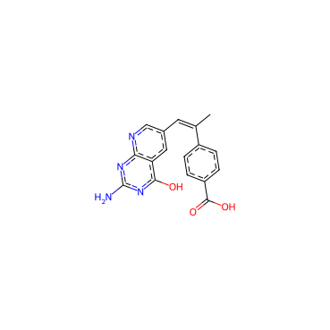 CC(=Cc1cnc2nc(N)nc(O)c2c1)c1ccc(C(=O)O)cc1